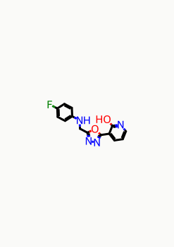 Oc1ncccc1-c1nnc(CNc2ccc(F)cc2)o1